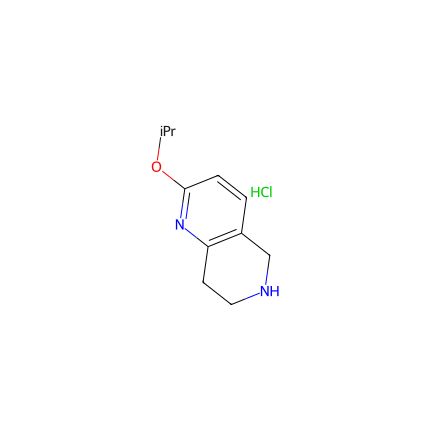 CC(C)Oc1ccc2c(n1)CCNC2.Cl